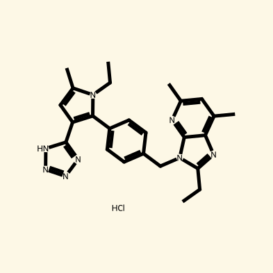 CCc1nc2c(C)cc(C)nc2n1Cc1ccc(-c2c(-c3nnn[nH]3)cc(C)n2CC)cc1.Cl